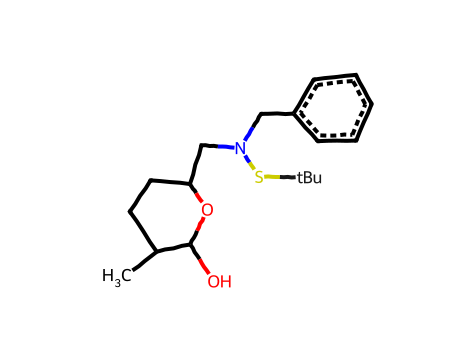 CC1CCC(CN(Cc2ccccc2)SC(C)(C)C)OC1O